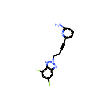 Nc1cccc(C#CCCn2nc3cc(F)cc(F)c3n2)n1